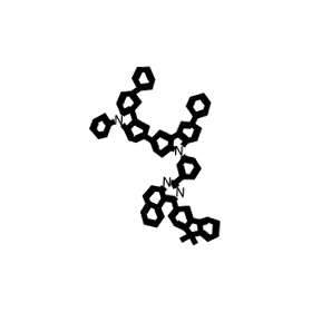 CC1(C)c2ccccc2-c2cc(-c3nc(-c4cccc(-n5c6ccc(-c7ccccc7)cc6c6cc(-c7ccc8c(c7)c7cc(-c9ccccc9)ccc7n8-c7ccccc7)ccc65)c4)nc4ccc5ccccc5c34)ccc21